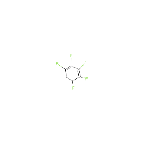 F[C]1CC(F)=C(F)C(F)=C1F